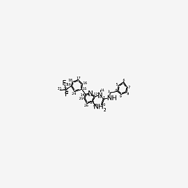 C=C(NCc1ccccc1)N(C)c1nc(-c2cccc(C(C)(F)F)c2)ccc1N